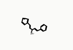 C[C](C)C(C=Cc1ccccc1)C=Cc1ccccc1